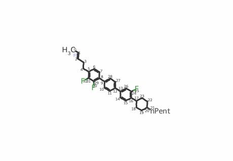 C/C=C/CCc1ccc(-c2ccc(-c3ccc(C4CCC(CCCCC)CC4)c(F)c3)cc2)c(F)c1F